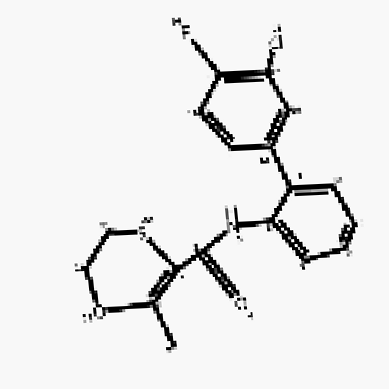 CC1=C(C(=O)Nc2ccccc2-c2ccc(F)c(Cl)c2)SCCO1